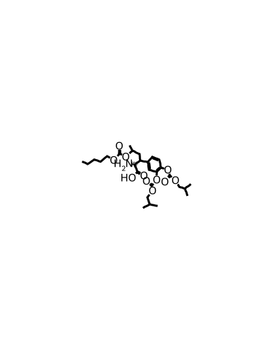 CCCCCOC(=O)OC(C)CC(c1ccc(OC(=O)OCC(C)C)c(OC(=O)OCC(C)C)c1)[C@H](N)C(=O)O